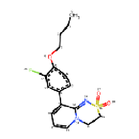 CCCCOc1ccc(C2=CC=CN3CCS(=O)(=O)N=C23)cc1F